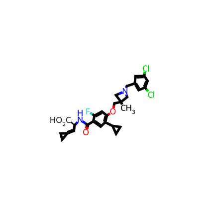 CC1(COc2cc(F)c(C(=O)N[C@@H](C=C3CC3)C(=O)O)cc2C2CC2)CN(Cc2cc(Cl)cc(Cl)c2)C1